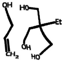 C=CCO.CCC(CO)(CO)CO